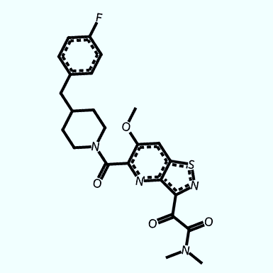 COc1cc2snc(C(=O)C(=O)N(C)C)c2nc1C(=O)N1CCC(Cc2ccc(F)cc2)CC1